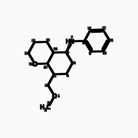 COCC1CC[C@H](Nc2ccccc2)C2CCCOC12